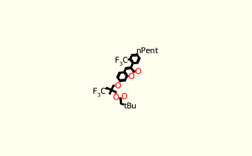 CCCCCc1ccc(-c2cc3ccc(OCC(C)(COC(=O)CC(C)(C)C)CC(F)(F)F)cc3oc2=O)c(C(F)(F)F)c1